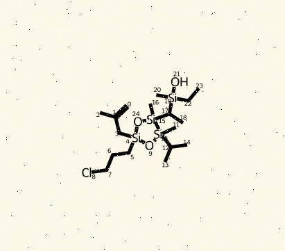 C=C(C)C[Si]1(CCCCl)O[Si](C)(C(C)C)[Si](C)(C(C)[Si](C)(O)CC)O1